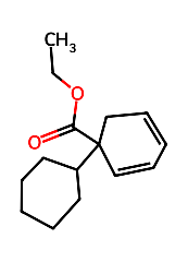 CCOC(=O)C1(C2CCCCC2)C=CC=CC1